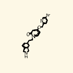 O=c1cc(OCc2ccc(Br)cn2)ccn1CCc1ccc2c(c1)CNC2